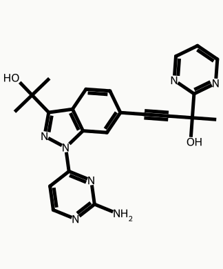 CC(C)(O)c1nn(-c2ccnc(N)n2)c2cc(C#CC(C)(O)c3ncccn3)ccc12